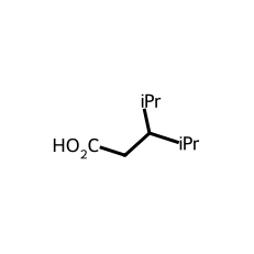 CC(C)C(CC(=O)O)C(C)C